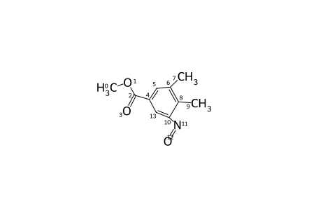 COC(=O)c1cc(C)c(C)c(N=O)c1